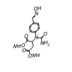 COC(=O)CC(C(=O)OC)N(C(N)=O)c1ccc(C=NO)cc1